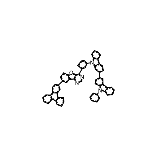 c1ccc(-n2c3ccccc3c3cc(-c4ccc5c6ccccc6n(-c6cccc(-c7ncnc8c7oc7ccc(-c9ccc%10c%11ccccc%11c%11ccccc%11c%10c9)cc78)c6)c5c4)ccc32)cc1